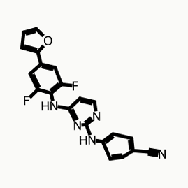 N#Cc1ccc(Nc2nccc(Nc3c(F)cc(-c4ccco4)cc3F)n2)cc1